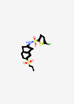 CCCS(=O)(=O)c1ccc2c(c1)CC(NS(=O)(=O)c1ccc(Cl)s1)C2